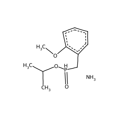 COc1ccccc1C[PH](=O)OC(C)C.N